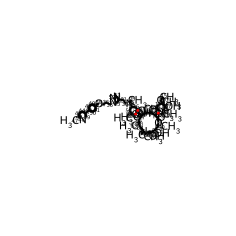 CC[C@H]1OC(=O)[C@H](C)[C@@H](O[C@H]2C[C@@](C)(OC)[C@@H](O)[C@H](C)O2)[C@H](C)[C@@H](O[C@H]2C[C@@H](N(C)CCc3cn(CCCOc4ccc(-c5ccc(C)nc5)cc4)nn3)C[C@@H](C)O2)[C@](C)(O)C[C@@H](C)CN(C)[C@H](C)[C@@H](O)[C@@H]1O